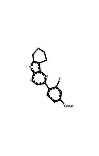 COc1ccc(-c2cnc3[nH]c4c(c3n2)CCCC4)c(F)c1